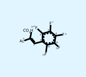 CC(=O)C(=Cc1c(F)c(F)c(F)c(F)c1F)C(=O)O